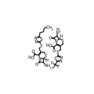 CCCCc1nnc(SCC2=C(C(=O)O)N3C(=O)C(N)[C@H]3SC2)s1.NC1C(=O)N2C(C(=O)O)=C(CSc3nnc(C(F)(F)F)s3)CS[C@H]12